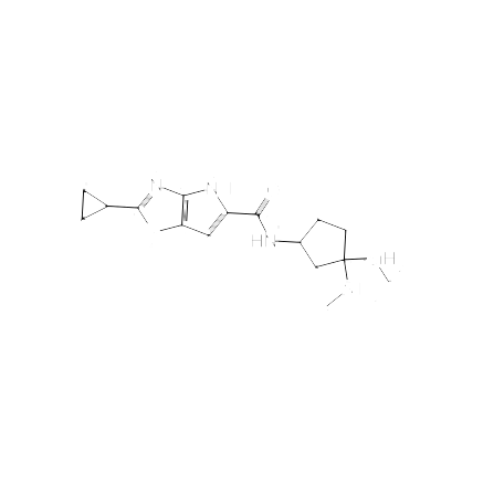 C[SiH2]C1([SiH2]C)CCC(NC(=O)c2cc3sc(C4CC4)nc3[nH]2)C1